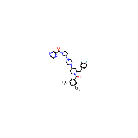 O=C(c1cnccn1)N1CCC(N2CCN(C3CCN(C(=O)c4cc(C(F)(F)F)cc(C(F)(F)F)c4)C(Cc4ccc(F)c(F)c4)C3)CC2)C1